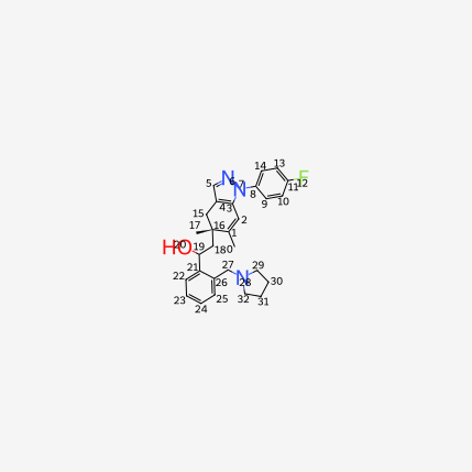 CC1=Cc2c(cnn2-c2ccc(F)cc2)C[C@@]1(C)CC(O)c1ccccc1CN1CCCC1